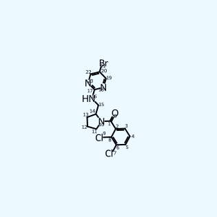 O=C(c1cccc(Cl)c1Cl)N1CCCC1CNc1ncc(Br)cn1